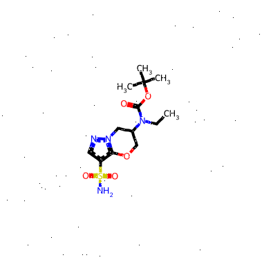 CCN(C(=O)OC(C)(C)C)C1COc2c(S(N)(=O)=O)cnn2C1